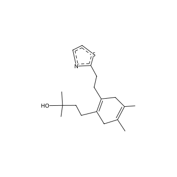 CC1=C(C)CC(CCC(C)(C)O)=C(CCc2nccs2)C1